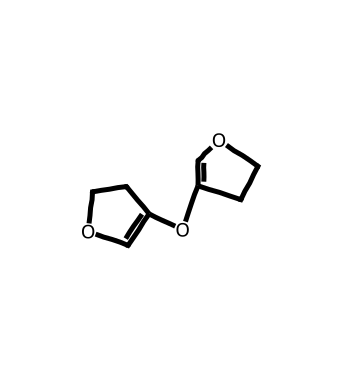 C1=C(OC2=COCC2)CCO1